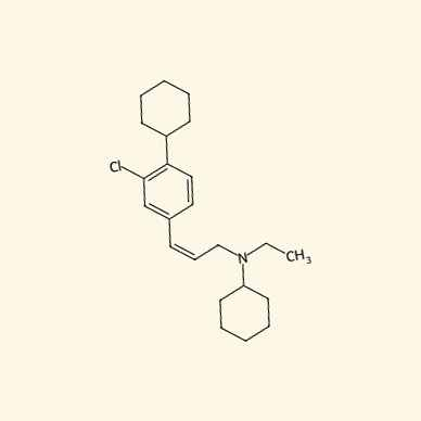 CCN(C/C=C\c1ccc(C2CCCCC2)c(Cl)c1)C1CCCCC1